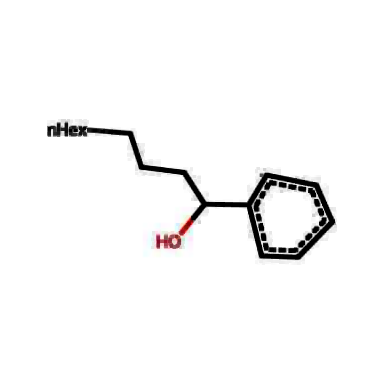 CCCCCCCCCC(O)c1[c]cccc1